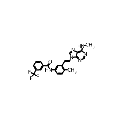 CNc1ncnc2c1ncn2/C=C/c1cc(NC(=O)c2cccc(C(F)(F)F)c2)ccc1C